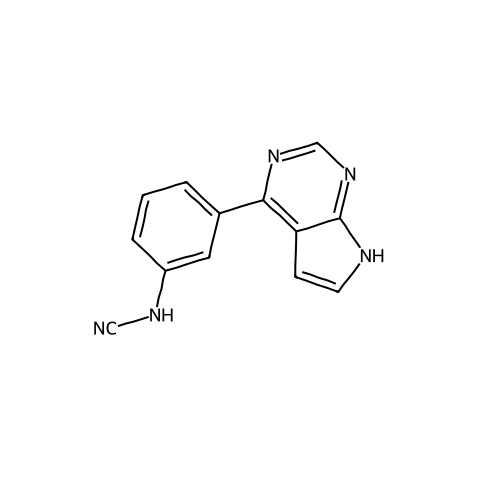 N#CNc1cccc(-c2ncnc3[nH]ccc23)c1